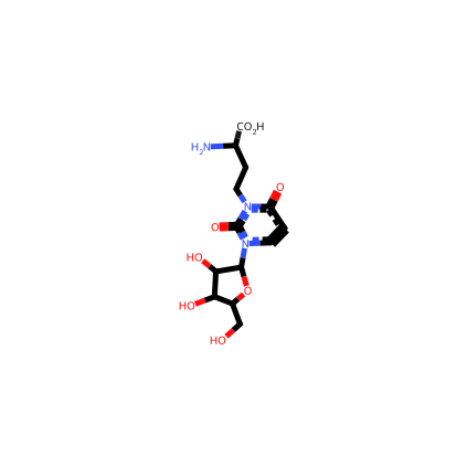 NC(CCn1c(=O)c#cn(C2OC(CO)C(O)C2O)c1=O)C(=O)O